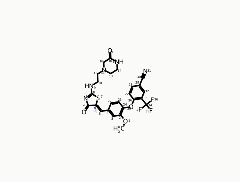 COc1cc(/C=C2\SC(NCCN3CCNC(=O)C3)=NC2=O)ccc1Oc1ccc(C#N)cc1C(F)(F)F